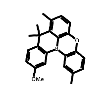 COc1ccc2c(c1)B1c3cc(C)ccc3Oc3ccc(C)c(c31)C2(C)C